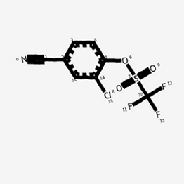 N#Cc1ccc(OS(=O)(=O)C(F)(F)F)c(Cl)c1